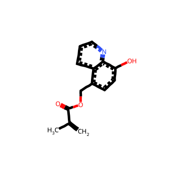 C=C(C)C(=O)OCc1ccc(O)c2ncccc12